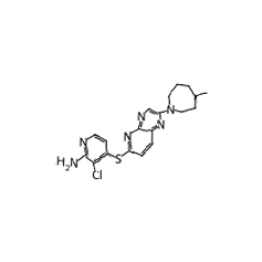 CC1CCCN(c2cnc3nc(Sc4ccnc(N)c4Cl)ccc3n2)CC1